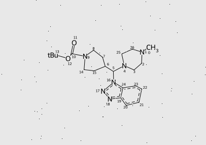 CN1CCN(C(C2CCN(C(=O)OC(C)(C)C)CC2)n2nnc3ccccc32)CC1